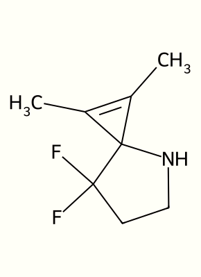 CC1=C(C)C12NCCC2(F)F